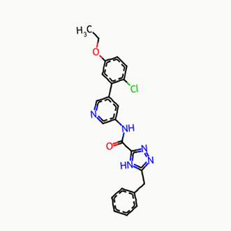 CCOc1ccc(Cl)c(-c2cncc(NC(=O)c3nnc(Cc4ccccc4)[nH]3)c2)c1